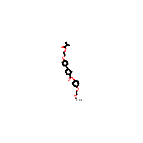 C=C(C)C(=O)OCCOc1ccc(C2=CCC(C(=O)Oc3ccc(OCCOC=O)cc3)C=C2)cc1